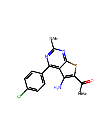 CNC(=O)c1sc2nc(NC)nc(-c3ccc(Cl)cc3)c2c1N